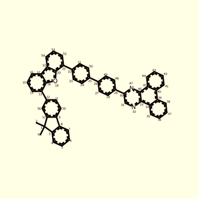 CC1(C)c2ccccc2-c2ccc(-c3cccc4c3oc3c(-c5ccc(-c6ccc(-c7cnc8c9ccccc9c9ccccc9c8n7)cc6)cc5)cccc34)cc21